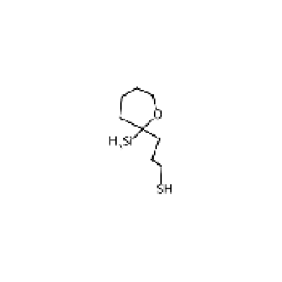 [SiH3]C1(CCCS)CCCCO1